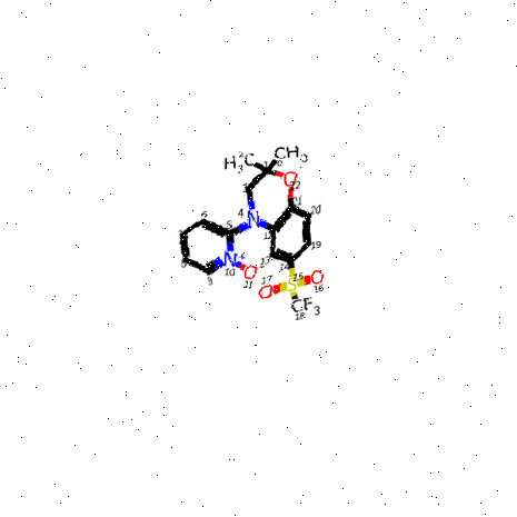 CC1(C)CN(c2cccc[n+]2[O-])c2cc(S(=O)(=O)C(F)(F)F)ccc2O1